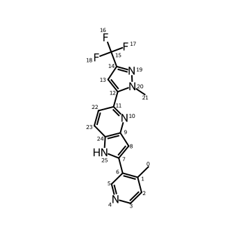 Cc1ccncc1-c1cc2nc(-c3cc(C(F)(F)F)nn3C)ccc2[nH]1